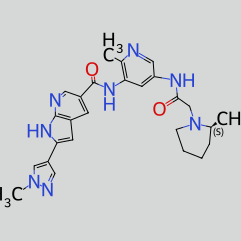 Cc1ncc(NC(=O)CN2CCCC[C@@H]2C)cc1NC(=O)c1cnc2[nH]c(-c3cnn(C)c3)cc2c1